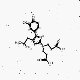 CC(C)Cc1sc(N(CCC(=O)O)CCC(=O)O)nc1-c1ccc(Cl)c(Cl)c1